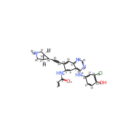 C=CC(=O)Nc1cc2c(Nc3ccc(O)c(Cl)c3)ncnc2cc1C#C[C@H]1[C@H]2CN(C)C[C@@H]12